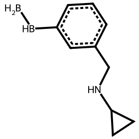 BBc1cccc(CNC2CC2)c1